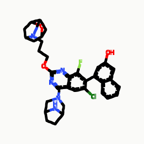 Oc1cc(-c2c(Cl)cc3c(N4CC5CCC(C4)N5)nc(OCCCN4C5CC6CC4C(C5)O6)nc3c2F)c2ccccc2c1